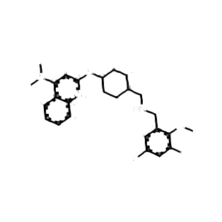 COc1c(Br)cc(Br)cc1CNCC1CCC(Nc2cc(N(C)C)c3ccccc3n2)CC1